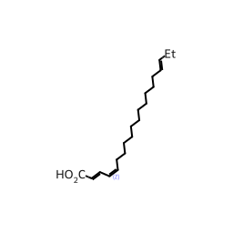 CCC=CCCCCCCCCCCC/C=C\C=CC(=O)O